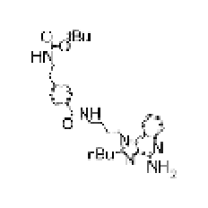 CCCCc1nc2c(N)nc3ccccc3c2n1CCCCNC(=O)c1ccc(CCNC(=O)OC(C)(C)C)cc1